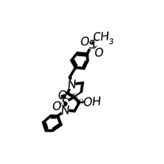 CS(=O)(=O)c1ccc(CN2CC[C@@]3(C2)[C@@H](O)CN(c2ccccc2)S3(=O)=O)cc1